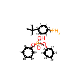 CC(C)(C)c1ccc(P)cc1.O=P(O)(Oc1ccccc1)Oc1ccccc1